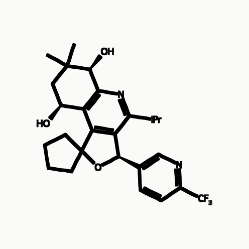 CC(C)c1nc2c(c3c1[C@@H](c1ccc(C(F)(F)F)nc1)OC31CCCC1)[C@@H](O)CC(C)(C)[C@H]2O